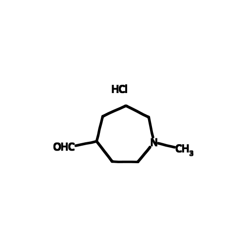 CN1CCCC(C=O)CC1.Cl